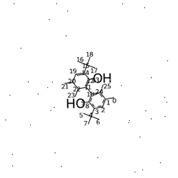 Cc1cc(C(C)(C)C)c(O)c(C2=C(O)C(C(C)(C)C)=CC(C)C2C)c1C